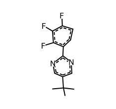 CC(C)(C)c1cnc(-c2ccc(F)c(F)c2F)nc1